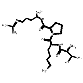 CC(O)C(N)C(=O)NC(CCCCN)C(=O)N1CCCC1C(=O)NC(CCCN=C(N)N)C(=O)O